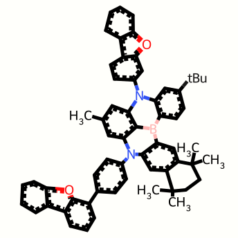 Cc1cc2c3c(c1)N(c1ccc(-c4cccc5c4oc4ccccc45)cc1)c1cc4c(cc1B3c1ccc(C(C)(C)C)cc1N2c1ccc2c(c1)oc1ccccc12)C(C)(C)CCC4(C)C